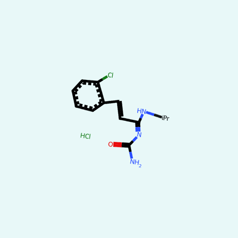 CC(C)NC(/C=C/c1ccccc1Cl)=N/C(N)=O.Cl